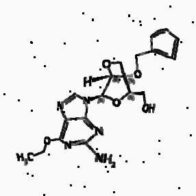 CCOc1nc(N)nc2c1ncn2[C@@H]1O[C@@]2(CO)C3O[C@@H]1[C@@]32OCc1ccccc1